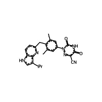 Cc1cc(-n2nc(C#N)c(=O)[nH]c2=O)cc(C)c1Cc1ccc2[nH]cc(C(C)C)c2n1